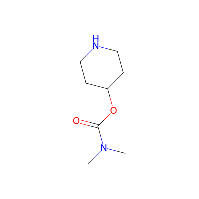 CN(C)C(=O)OC1CCNCC1